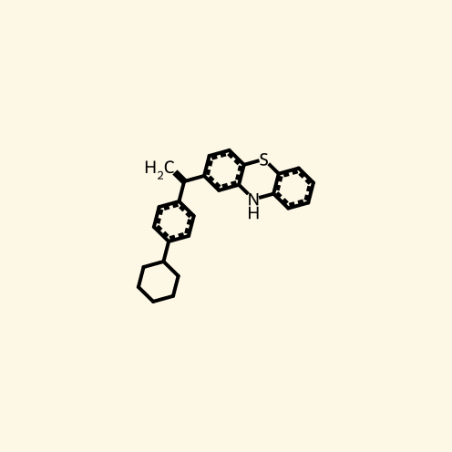 C=C(c1ccc(C2CCCCC2)cc1)c1ccc2c(c1)Nc1ccccc1S2